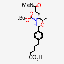 CNC(=O)CC[C@H](NC(=O)OC(C)(C)C)[C@@H](C)OCc1ccc(CCCCC(=O)O)cc1